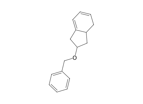 C1=CCC2CC(OCc3ccccc3)CC2=C1